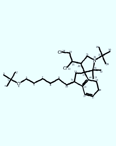 CC(C)(C)OCCCCCCC1CC2(C3=C1C=CCC3)C(C(Cl)CCl)CN(C(C)(C)C)C2(C)C